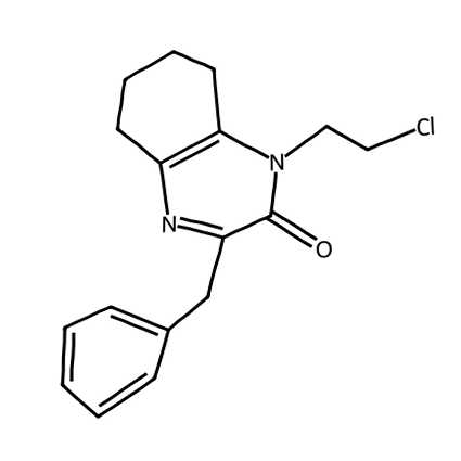 O=c1c(Cc2ccccc2)nc2c(n1CCCl)CCCC2